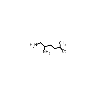 CCC(C)CCC(N)CN